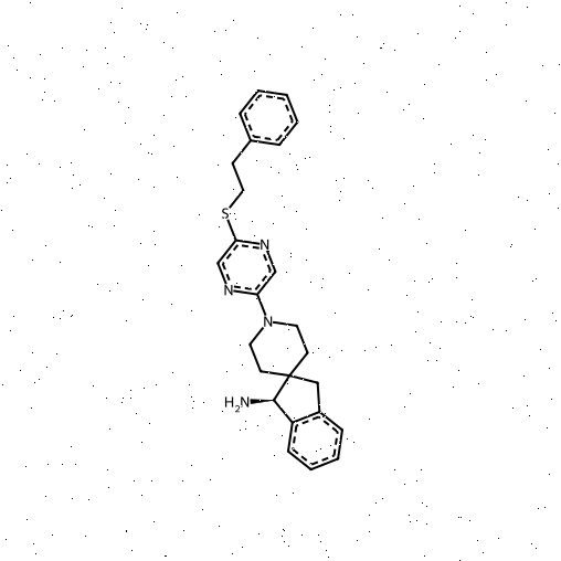 N[C@@H]1c2ccccc2CC12CCN(c1cnc(SCCc3ccccc3)cn1)CC2